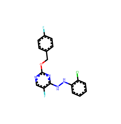 Fc1ccc(COc2ncc(F)c(NNc3ccccc3Cl)n2)cc1